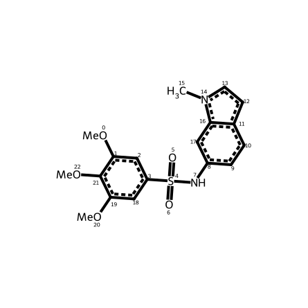 COc1cc(S(=O)(=O)Nc2ccc3ccn(C)c3c2)cc(OC)c1OC